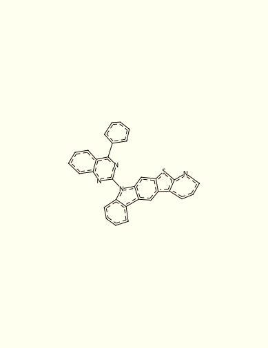 c1ccc(-c2nc(-n3c4ccccc4c4cc5c(cc43)sc3ncccc35)nc3ccccc23)cc1